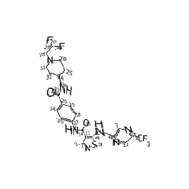 Cc1nsc(Nc2cnc(C(F)(F)F)cn2)c1C(=O)Nc1ccc(C(=O)NC2CCN(CC(F)F)CC2)cc1